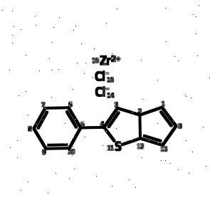 C1=CC2C=C(c3ccccc3)SC2=C1.[Cl-].[Cl-].[Zr+2]